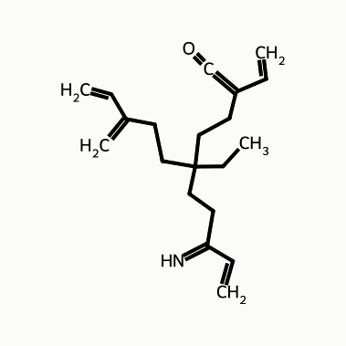 C=CC(=C)CCC(CC)(CCC(=N)C=C)CCC(=C=O)C=C